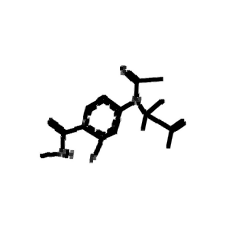 C=C(NC)c1ccc(N(C(C)=S)C(C)(C)C(=C)C)cc1F